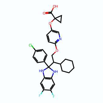 O=C(O)C1(Oc2ccc(OCC(C3CCCCC3)C3(c4ccc(Cl)cc4)Nc4cc(F)c(F)cc4N3)nc2)CC1